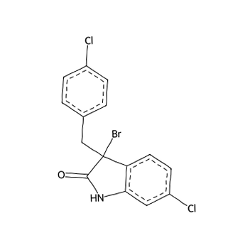 O=C1Nc2cc(Cl)ccc2C1(Br)Cc1ccc(Cl)cc1